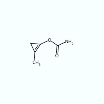 CC1=C(OC(N)=O)C1